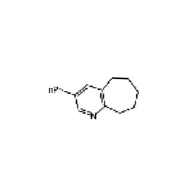 CCCc1cnc2c(c1)CCCCC2